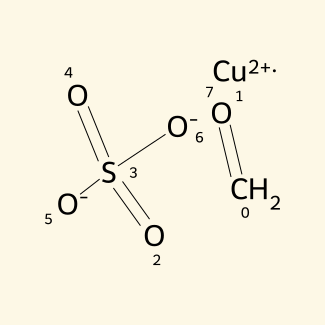 C=O.O=S(=O)([O-])[O-].[Cu+2]